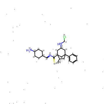 CCCC1CC2(c3ccccc3)CC(NCCl)CC1(C(=S)/N=C/C1CCC(N)CC1)C2